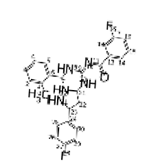 Cc1ccccc1CN/C(=N/C(=O)c1cccc(F)c1)NC1CC(c2ccc(F)cc2)NN1